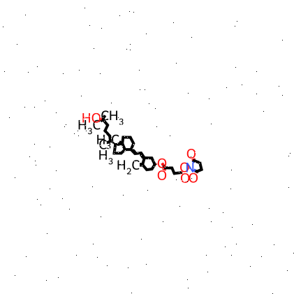 C=C1CC[C@@H](OC(=O)CCC(=O)ON2C(=O)CCC2=O)C/C1=C/C=C1\CCCC2(C)C1CC[C@@H]2C(C)CCCC(C)(C)O